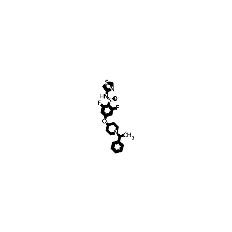 CC(c1ccccc1)N1CCC(Oc2cc(F)c([S+]([O-])Nc3cscn3)c(F)c2)CC1